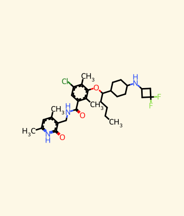 CCCCC(Oc1c(C)c(Cl)cc(C(=O)NCc2c(C)cc(C)[nH]c2=O)c1C)C1CCC(NC2CC(F)(F)C2)CC1